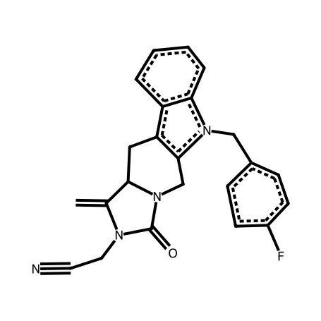 C=C1C2Cc3c(n(Cc4ccc(F)cc4)c4ccccc34)CN2C(=O)N1CC#N